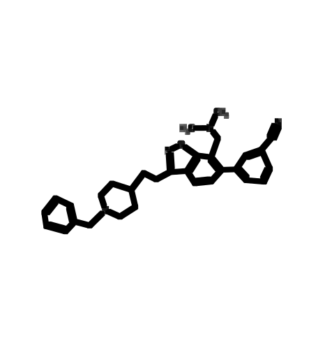 CN(C)Cc1c(-c2cccc(C#N)c2)ccc2c(CCC3CCN(Cc4ccccc4)CC3)noc12